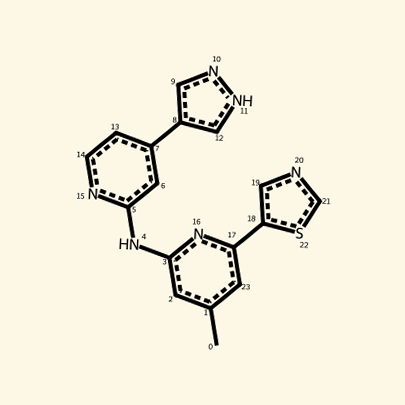 Cc1cc(Nc2cc(-c3cn[nH]c3)ccn2)nc(-c2cncs2)c1